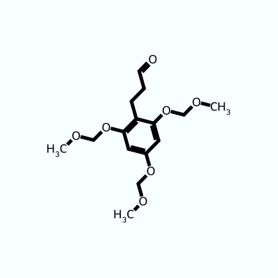 COCOc1cc(OCOC)c(CCC=O)c(OCOC)c1